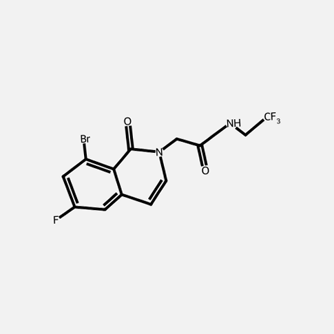 O=C(Cn1ccc2cc(F)cc(Br)c2c1=O)NCC(F)(F)F